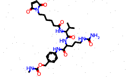 CNC(=O)OCc1ccc(NC(=O)C(CCCNC(N)=O)NC(=O)C(NC(=O)CCCCCN2C(=O)C=CC2=O)C(C)C)cc1